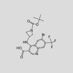 CC(C)(C)OC(=O)N1CC(Nc2c(C(=O)O)cnc3cc(C(F)(F)F)c(Br)cc23)C1